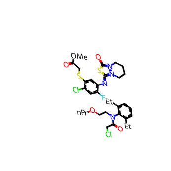 CCCOCCN(C(=O)CCl)c1c(CC)cccc1CC.COC(=O)CSc1cc(/N=c2\sc(=O)n3n2CCCC3)c(F)cc1Cl